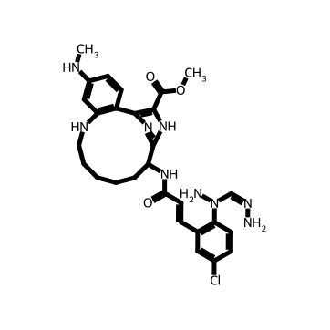 CNc1ccc2c(c1)NCCCCCC(NC(=O)/C=C/c1cc(Cl)ccc1N(N)/C=N\N)c1nc-2c(C(=O)OC)[nH]1